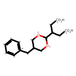 O=C(O)CC(CC(=O)O)C1OCC(Cc2ccccc2)CO1